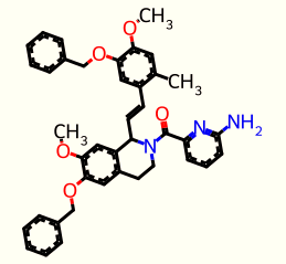 COc1cc(C)c(C=CC2c3cc(OC)c(OCc4ccccc4)cc3CCN2C(=O)c2cccc(N)n2)cc1OCc1ccccc1